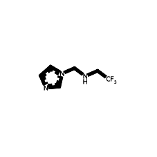 FC(F)(F)CNCn1ccnc1